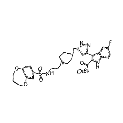 CC(C)COC(=O)c1[nH]c2ccc(F)cc2c1-c1cn(CC2CCN(CCNS(=O)(=O)c3ccc4c(c3)OCCCO4)CC2)nn1